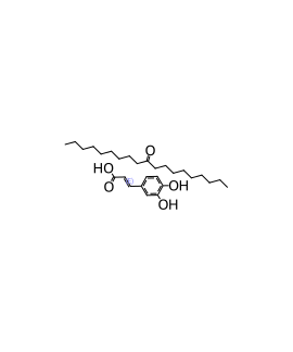 CCCCCCCCCC(=O)CCCCCCCCC.O=C(O)/C=C/c1ccc(O)c(O)c1